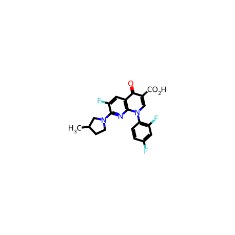 CC1CCN(c2nc3c(cc2F)c(=O)c(C(=O)O)cn3-c2ccc(F)cc2F)C1